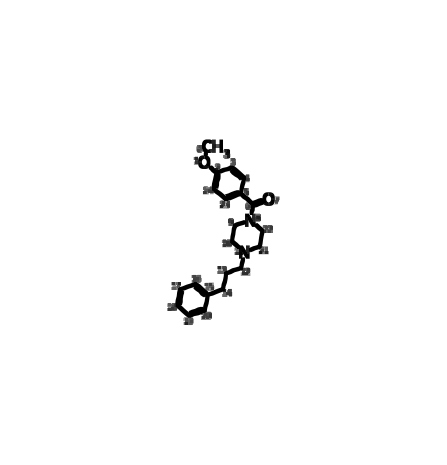 COc1ccc(C(=O)N2CCN(CCCc3ccccc3)CC2)cc1